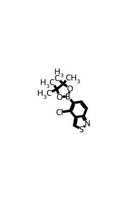 CC1(C)OB(c2ccc3nscc3c2Cl)OC1(C)C